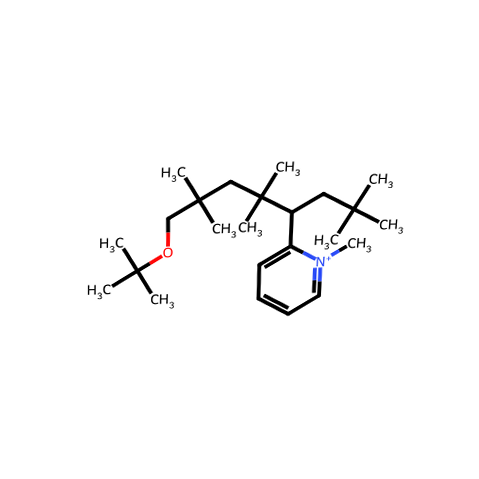 C[n+]1ccccc1C(CC(C)(C)C)C(C)(C)CC(C)(C)COC(C)(C)C